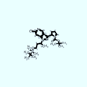 CC(CCO[Si](C)(C)C(C)(C)C)n1nc(-c2cccn2C(=O)OC(C)(C)C)c2cnc(Cl)cc21